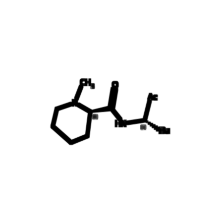 CCC(C)[C@H](NC(=O)[C@H]1CCCCN1C)C(C)=O